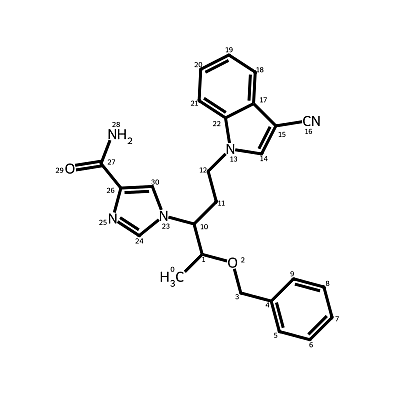 CC(OCc1ccccc1)C(CCn1cc(C#N)c2ccccc21)n1cnc(C(N)=O)c1